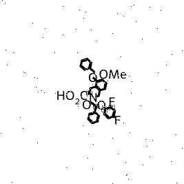 COc1ccc2c(c1OCc1ccccc1)C[C@H](C(=O)O)N(C(=O)[C@H](O[C@H]1C=CC(F)=C[C@H]1F)c1ccccc1)C2